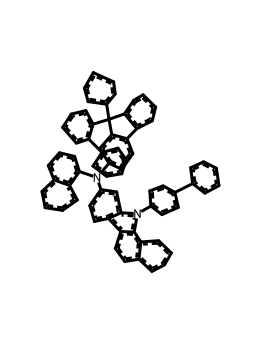 c1ccc(-c2ccc(-n3c4cc(N(c5ccc6c(c5)C(c5ccccc5)(c5ccccc5-c5ccccc5)c5ccccc5-6)c5cccc6ccccc56)ccc4c4ccc5ccccc5c43)cc2)cc1